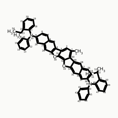 Cc1cc2c3cc4ccc(N(c5ccccc5)c5ccccc5C(C)C)cc4cc3oc2c2oc3cc4cc(N(c5ccccc5)c5ccccc5C(C)C)ccc4cc3c12